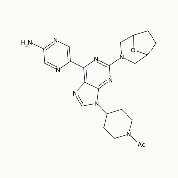 CC(=O)N1CCC(n2cnc3c(-c4cnc(N)cn4)nc(N4CC5CCC(C4)O5)nc32)CC1